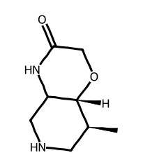 C[C@H]1CNCC2NC(=O)CO[C@@H]21